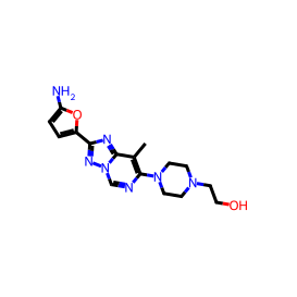 Cc1c(N2CCN(CCO)CC2)ncn2nc(-c3ccc(N)o3)nc12